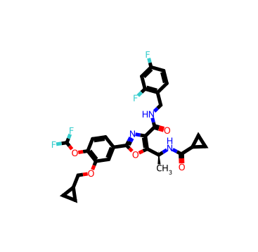 C[C@H](NC(=O)C1CC1)c1oc(-c2ccc(OC(F)F)c(OCC3CC3)c2)nc1C(=O)NCc1ccc(F)cc1F